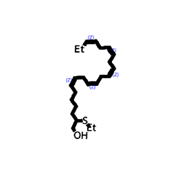 CC/C=C\C/C=C\C/C=C\C/C=C\C/C=C\CCCCC(CO)SCC